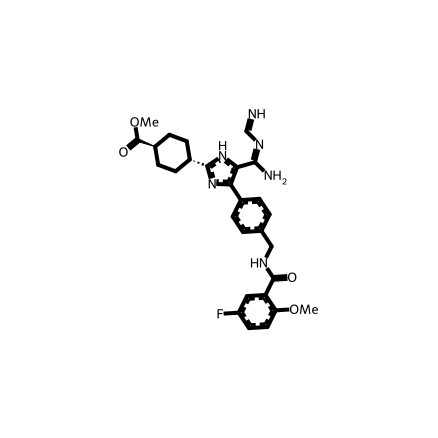 COc1ccc(F)cc1C(=O)NCc1ccc(-c2nc([C@H]3CC[C@H](C(=O)OC)CC3)[nH]c2/C(N)=N\C=N)cc1